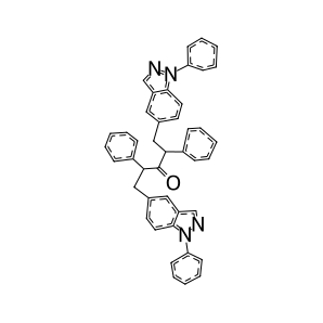 O=C(C(Cc1ccc2c(cnn2-c2ccccc2)c1)c1ccccc1)C(Cc1ccc2c(cnn2-c2ccccc2)c1)c1ccccc1